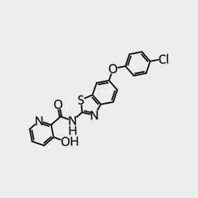 O=C(Nc1nc2ccc(Oc3ccc(Cl)cc3)cc2s1)c1ncccc1O